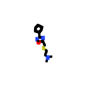 CN(C)CCSCc1nc(-c2ccccc2)no1